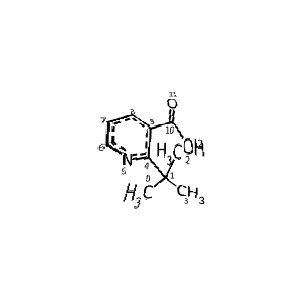 CC(C)(C)c1ncccc1C(=O)O